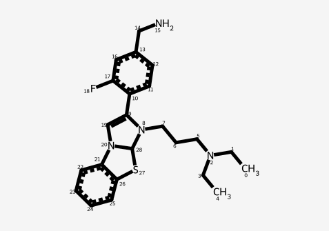 CCN(CC)CCCN1C(c2ccc(CN)cc2F)=CN2c3ccccc3SC12